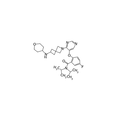 CC(C)N(C(=O)c1cc(F)ccc1Oc1cncnc1N1CC2(CC(NC3CCOCC3)C2)C1)C(C)C